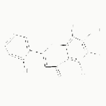 O=c1cc(-c2ccccc2Cl)oc2c(Br)c(O)c(Br)c(O)c12